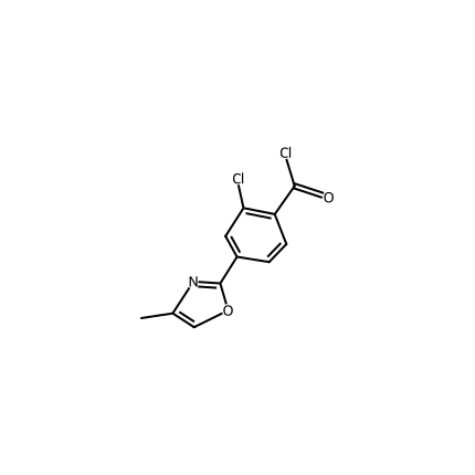 Cc1coc(-c2ccc(C(=O)Cl)c(Cl)c2)n1